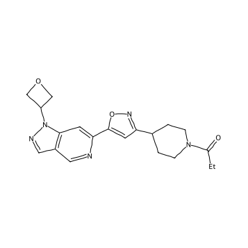 CCC(=O)N1CCC(c2cc(-c3cc4c(cn3)cnn4C3COC3)on2)CC1